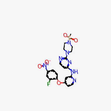 CS(=O)(=O)N1CCN(c2nccc(Nc3cc(Oc4ccc([N+](=O)[O-])cc4F)ccn3)n2)CC1